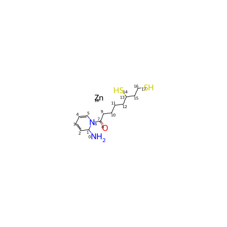 NC1C=CC=CN1C(=O)CCCCC(S)CCS.[Zn]